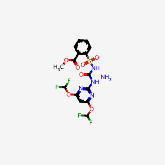 COC(=O)c1ccccc1S(=O)(=O)NC(=O)Nc1nc(OC(F)F)cc(OC(F)F)n1.N